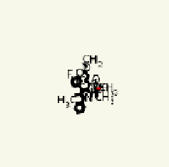 C=COC(=O)CC(O)C(c1c(C(C)C)nc(-c2ccccc2)c(CC)c1-c1ccc(F)cc1)[PH](=O)OC